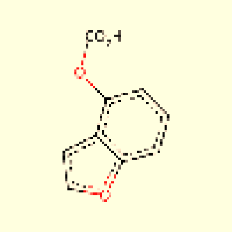 O=C(O)Oc1cccc2occc12